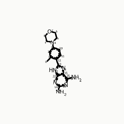 Cc1cc(N2CCOCC2)ccc1-c1nc2c(N)nc(N)nc2[nH]1